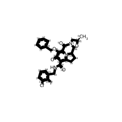 C[C@@H]1CN2C(=O)c3c(OCc4ccccc4)c(=O)c(C(=O)NCc4cccc(Cl)c4F)c4n3C(CC4)C2O1